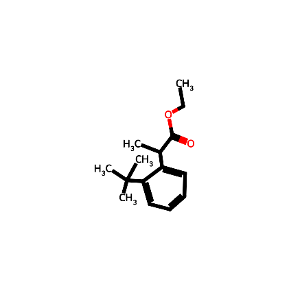 CCOC(=O)C(C)c1ccccc1C(C)(C)C